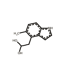 Cc1ccc2[nH]ccc2c1CC(O)O